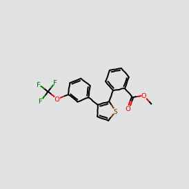 COC(=O)c1ccccc1-c1sccc1-c1cccc(OC(F)(F)F)c1